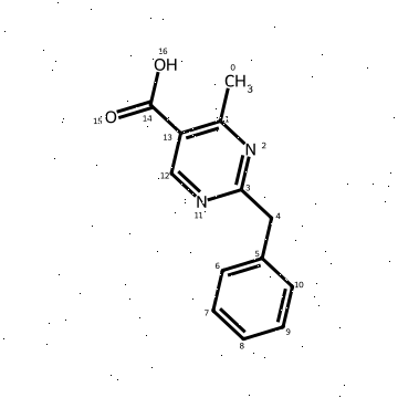 Cc1nc(Cc2ccccc2)ncc1C(=O)O